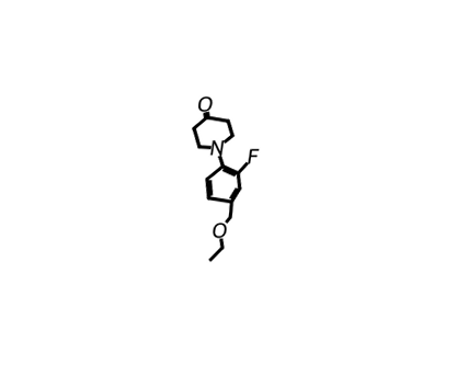 CCOCc1ccc(N2CCC(=O)CC2)c(F)c1